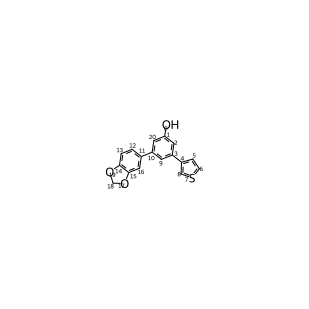 Oc1cc(-c2ccsc2)cc(-c2ccc3c(c2)OCO3)c1